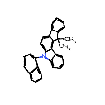 CC1(C)c2ccccc2-c2ccc3c(c21)c1ccccc1n3-c1cccc2ccccc12